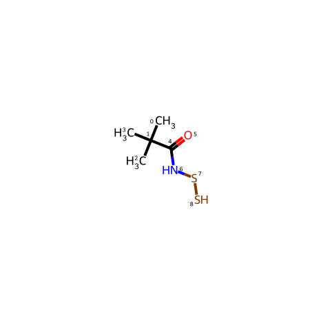 CC(C)(C)C(=O)NSS